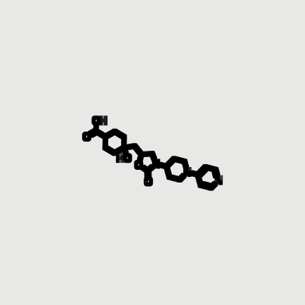 O=C(O)C1CCC(O)(CC2CN(C3CCN(c4ccncc4)CC3)C(=O)O2)CC1